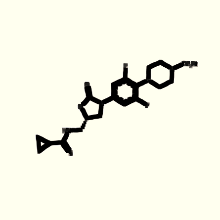 CCOC(=O)N1CCN(c2c(F)cc(N3C[C@H](CNC(=S)C4CC4)OC3=O)cc2F)CC1